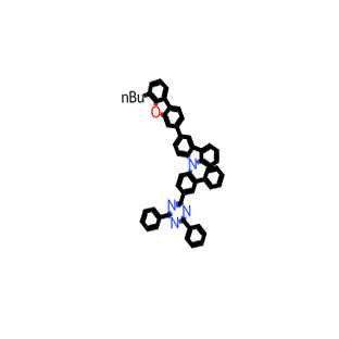 CCCCc1cccc2c1oc1cc(-c3ccc4c(c3)c3ccccc3n4-c3ccc(-c4nc(-c5ccccc5)nc(-c5ccccc5)n4)cc3-c3ccccc3)ccc12